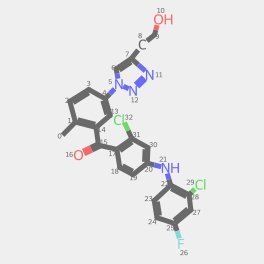 Cc1ccc(-n2cc(CCO)nn2)cc1C(=O)c1ccc(Nc2ccc(F)cc2Cl)cc1Cl